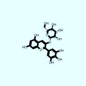 OC[C@H]1O[C@@H](Oc2cc3c(O)cc(O)cc3[o+]c2-c2cc(O)c(O)c(O)c2)[C@H](O)[C@@H](O)[C@@H]1O